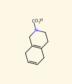 O=C(O)N1CCC2=C(CC=CC2)C1